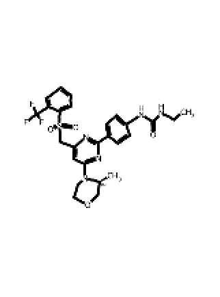 CCNC(=O)Nc1ccc(-c2nc(CS(=O)(=O)c3ccccc3C(F)(F)F)cc(N3CCOC[C@@H]3C)n2)cc1